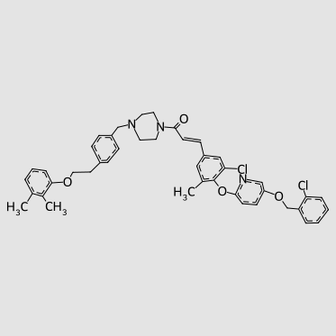 Cc1cccc(OCCc2ccc(CN3CCN(C(=O)C=Cc4cc(C)c(Oc5ccc(OCc6ccccc6Cl)cn5)c(Cl)c4)CC3)cc2)c1C